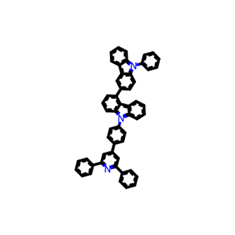 c1ccc(-c2cc(-c3ccc(-n4c5ccccc5c5c(-c6ccc7c(c6)c6ccccc6n7-c6ccccc6)cccc54)cc3)cc(-c3ccccc3)n2)cc1